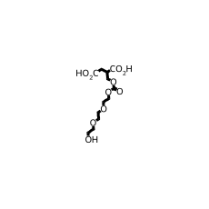 O=C(O)CC(COC(=O)OCCOCCOCCO)C(=O)O